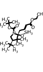 CCOC(=O)C=CC[C@]1(O[SiH3])N(C(=O)OC(C)(C)C)C[C@H](C(C)(C)C)C1(C)C